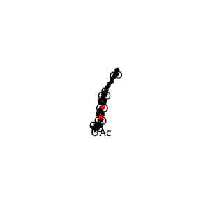 C=CC(=O)OCCCCCCCOC(=O)Oc1ccc(C(=O)Oc2ccc(C(=O)O[C@H]3COC4C3OC[C@@H]4OC(C)=O)cc2)cc1